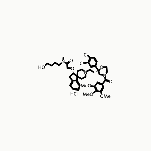 COc1cc(C(=O)N2CCO[C@](CCN3CCC4(CC3)c3ccccc3C[C@@H]4OCC(=O)N(C)CCCCO)(c3ccc(Cl)c(Cl)c3)C2)cc(OC)c1OC.Cl